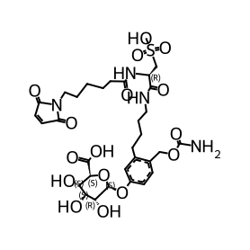 NC(=O)OCc1ccc(O[C@@H]2O[C@H](C(=O)O)[C@@H](O)[C@H](O)[C@H]2O)cc1CCCCNC(=O)[C@H](CS(=O)(=O)O)NC(=O)CCCCCN1C(=O)C=CC1=O